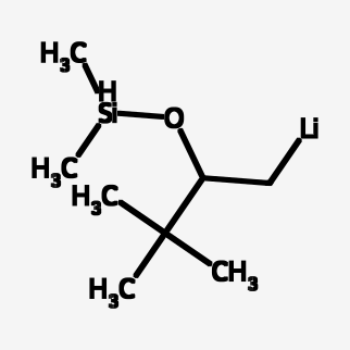 [Li][CH2]C(O[SiH](C)C)C(C)(C)C